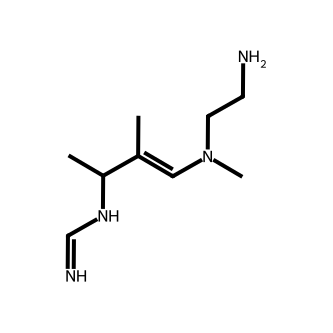 C/C(=C\N(C)CCN)C(C)NC=N